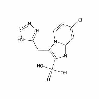 O=P(O)(O)c1nc2cc(Cl)ccn2c1Cc1nnn[nH]1